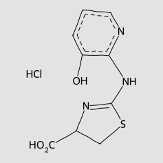 Cl.O=C(O)C1CSC(Nc2ncccc2O)=N1